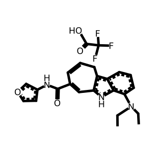 CCN(CC)c1cccc2c3c([nH]c12)C=C(C(=O)Nc1ccoc1)C=CC3.O=C(O)C(F)(F)F